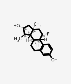 C[C@@H]1[C@H]2[C@@H]3CCc4cc(O)ccc4[C@H]3[C@@H](F)C[C@]2(C)C[C@H]1O